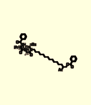 CCCC[C@@H](C(=O)O)N(CCCCCCCCCCCCCC(COC(=O)c1ccccc1)C(C)=O)C(=O)[C@H](C)NC(=O)[C@@H](NC(=O)c1ccccc1)C(C)C